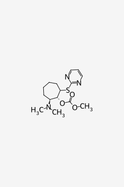 COC(=O)O[C@H]1C(Sc2ncccn2)CCCC[C@@H]1N(C)C